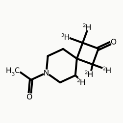 [2H]C1CN(C(C)=O)CCC12C([2H])([2H])C(=O)C2([2H])[2H]